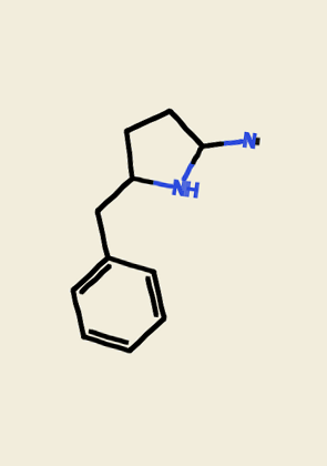 [N]C1CCC(Cc2ccccc2)N1